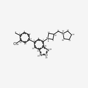 Cc1ccc(-c2cc(N3CC(CN4CCCC4)C3)c3nonc3c2)cc1Cl